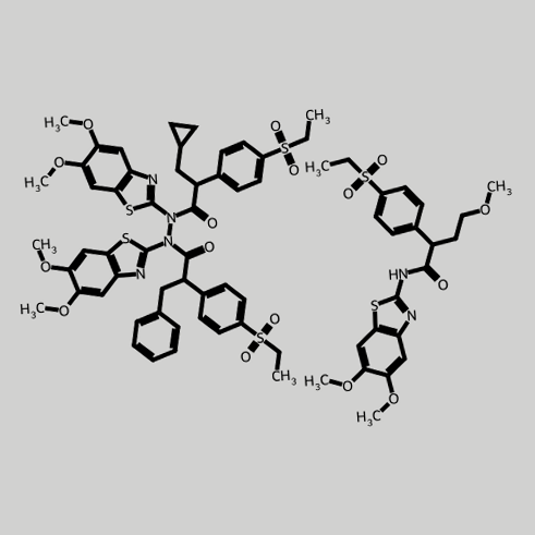 CCS(=O)(=O)c1ccc(C(CCOC)C(=O)Nc2nc3cc(OC)c(OC)cc3s2)cc1.CCS(=O)(=O)c1ccc(C(Cc2ccccc2)C(=O)N(c2nc3cc(OC)c(OC)cc3s2)N(C(=O)C(CC2CC2)c2ccc(S(=O)(=O)CC)cc2)c2nc3cc(OC)c(OC)cc3s2)cc1